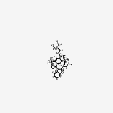 CCCCc1oc2ccccc2c1C(=O)c1cc(C(F)(F)F)c(OCCN(CC)CC)cc1C(F)(F)F